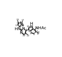 CC(=O)Nc1c(F)ccc2c(-c3nc(Nc4cc(C)n(C)n4)ncc3C)c[nH]c12